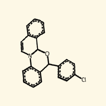 Clc1ccc(C2OC3c4ccccc4C=CN3c3ccccc32)cc1